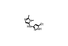 CCc1cc(Nc2cnc(C)n2C)n[nH]1